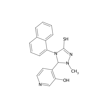 CN1N=C(S)N(c2cccc3ccccc23)C1c1ccncc1O